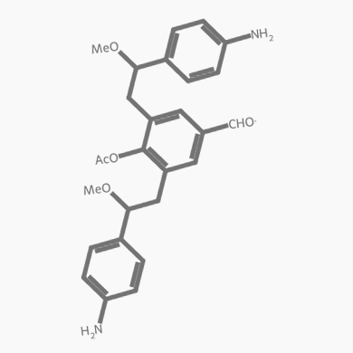 COC(Cc1cc([C]=O)cc(CC(OC)c2ccc(N)cc2)c1OC(C)=O)c1ccc(N)cc1